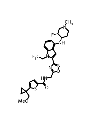 COCC1(c2ccc(C(=O)NCc3nc(-c4cc5c(N[C@@H]6CCN(C)C[C@@H]6F)cccc5n4CC(F)(F)F)no3)s2)CC1